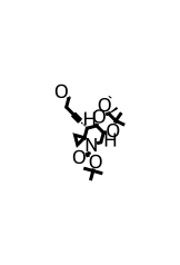 CO[C@@]1(C)O[C@@H]2[C@@H](C#CCC=O)C3(CC3)N(C(=O)OC(C)(C)C)C[C@H]2OC1(C)C